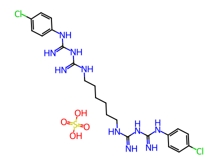 N=C(NCCCCCCNC(=N)NC(=N)Nc1ccc(Cl)cc1)NC(=N)Nc1ccc(Cl)cc1.O=S(=O)(O)O